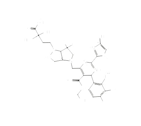 CCOC(=O)C1=C(CN2CC(F)(F)C3C2CON3CCC(C)(C)C(=O)O)NC(c2nc(C)cs2)=NC1c1ccc(F)c(F)c1F